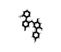 Cc1ccc(-c2ccccc2F)c(Cc2cc(-c3ccc(F)cc3)c(C)cc2C)c1